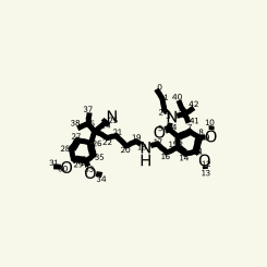 CCCN(C(=O)c1cc(OC)c(OC)cc1CCNCCCCC(C#N)(c1ccc(OC)c(OC)c1)C(C)C)C(C)(C)C